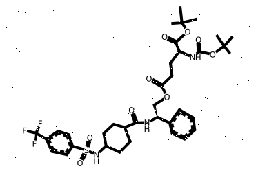 CC(C)(C)OC(=O)NC(CCC(=O)OC[C@H](NC(=O)C1CCC(NS(=O)(=O)c2ccc(C(F)(F)F)cc2)CC1)c1ccccc1)C(=O)OC(C)(C)C